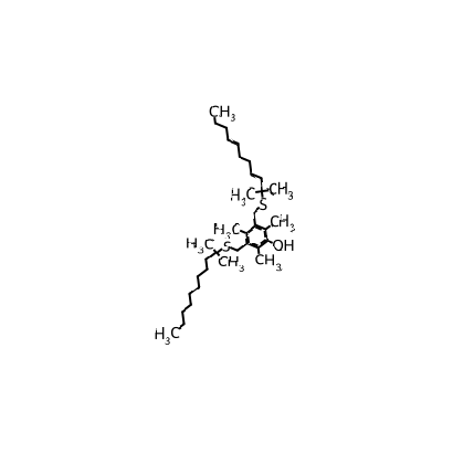 CCCCCCCCCC(C)(C)SCc1c(C)c(O)c(C)c(CSC(C)(C)CCCCCCCCC)c1C